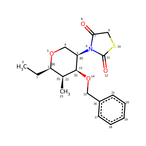 CC[C@H]1OC[C@@H](N2C(=O)CSC2=O)[C@@H](OCc2ccccc2)[C@H]1C